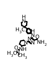 CN(C)C(=O)NC1CCCN(c2cnc(C(N)=O)c(Nc3ccc(C4(C)CCNCC4)cc3)n2)C1